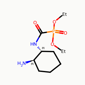 CCOP(=O)(OCC)C(=O)N[C@@H]1CCCC[C@H]1N